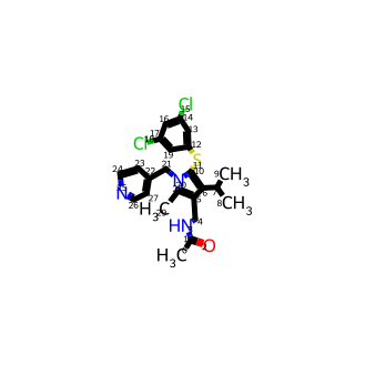 CC(=O)NCc1c(C(C)C)c(Sc2cc(Cl)cc(Cl)c2)n(Cc2ccncc2)c1C